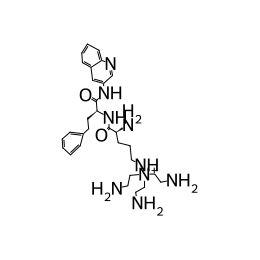 NCC[N+](CCN)(CCN)NCCC[C@H](N)C(=O)N[C@@H](CCc1ccccc1)C(=O)Nc1cnc2ccccc2c1